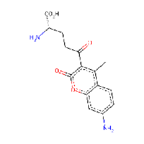 Cc1c(C(=O)CC[C@H](N)C(=O)O)c(=O)oc2cc(N)ccc12